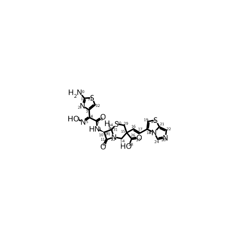 Nc1nc(C(=NO)C(=O)N[C@@H]2C(=O)N3CC(C=Cc4csc5cncn45)(C(=O)O)CS[C@H]23)cs1